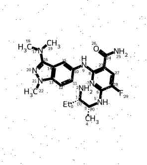 CC[C@H](N)[C@@H](C)Nc1nc(Nc2ccc3c(c2)c(N(C)C)nn3C)c(C(N)=O)cc1F